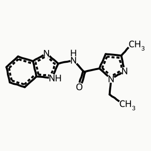 CCn1nc(C)cc1C(=O)Nc1nc2ccccc2[nH]1